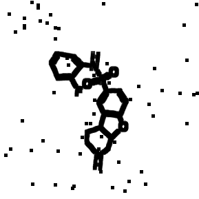 O=S(=O)(Nc1ccccc1F)c1ccc2c(c1)C1CCNCC1O2